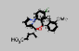 COc1cccc([C@H]2O[C@H](C(C)CCC(=O)O)c3cccn3-c3ccc(Cl)cc32)c1OC